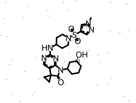 Cn1cc(S(=O)(=O)N2CCC(Nc3ncc4c(n3)N(C3CCC[C@@H](O)C3)C(=O)C43CC3)CC2)cn1